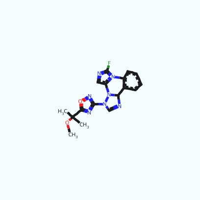 COC(C)(C)c1nc(N2C=NC3c4ccccc4-n4c(cnc4F)N32)no1